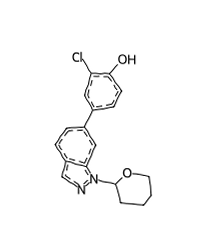 Oc1ccc(-c2ccc3cnn(C4CCCCO4)c3c2)cc1Cl